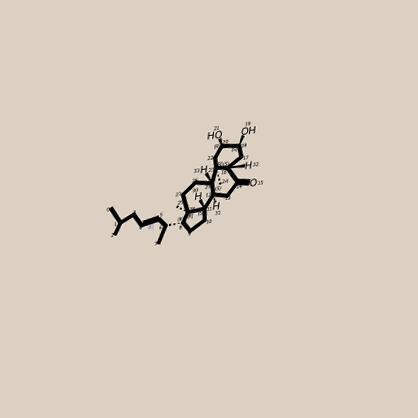 CC(C)C/C=C/C(C)[C@H]1CC[C@H]2[C@@H]3CC(=O)[C@H]4C[C@H](O)[C@H](O)C[C@]4(C)[C@H]3CC[C@]12C